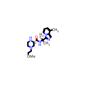 COCCN1CCN[C@H](C(=O)NC(C)(C)c2ncc3c(C)cccn23)C1